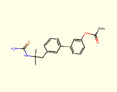 CNC(=O)Oc1cccc(-c2cccc(CC(C)(C)NC(N)=S)c2)c1